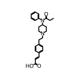 CCC(=O)N(c1ccccc1)C1CCN(CCc2ccc(/C=C/C(=O)O)cc2)CC1